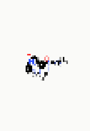 CCOC(=O)Nc1cccc(Cn2nc(-c3cccc(C(=O)NCCN(C)C)c3)ccc2=O)c1